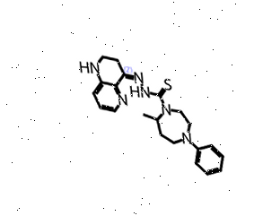 CC1CCN(c2ccccc2)CCN1C(=S)N/N=C1/CCNc2cccnc21